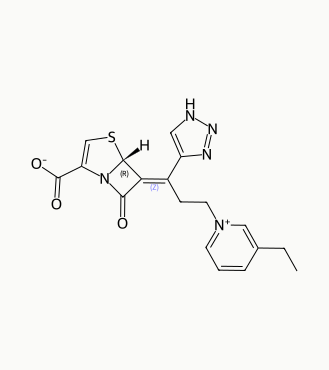 CCc1ccc[n+](CC/C(=C2\C(=O)N3C(C(=O)[O-])=CS[C@H]23)c2c[nH]nn2)c1